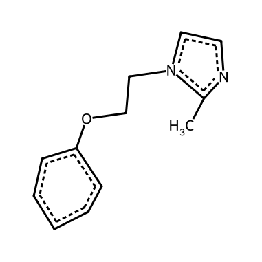 Cc1nccn1CCOc1ccccc1